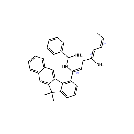 C/C=C\C=C(/N)C/C=C(\NC(N)c1ccccc1)c1cccc2c1-c1cc3ccccc3cc1C2(C)C